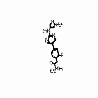 CCNC(=O)Cc1ccc(-c2cnc(Nc3cnn(CC)c3)nc2)cc1F